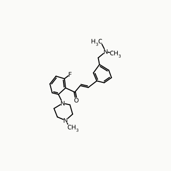 CN(C)Cc1cccc(C=CC(=O)c2c(F)cccc2N2CCN(C)CC2)c1